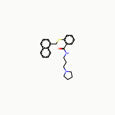 O=C(NCCCN1CCCC1)c1ccccc1SCc1cccc2ccccc12